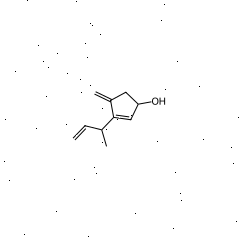 C=CC(C)C1=CC(O)CC1=C